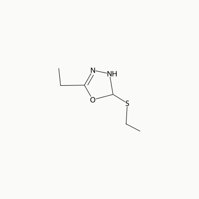 CCSC1NN=C(CC)O1